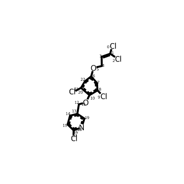 ClC(Cl)=CCOc1cc(Cl)c(OCc2ccc(Cl)nc2)c(Cl)c1